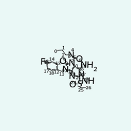 CCCN(C)C(=O)n1c(=O)n(Cc2ccc(F)cc2)c2nc(S(=N)(=O)CC)nc(N)c21